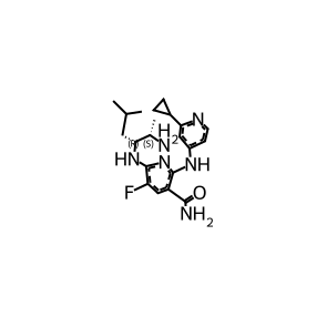 CC(C)C[C@@H](Nc1nc(Nc2ccnc(C3CC3)c2)c(C(N)=O)cc1F)[C@H](C)N